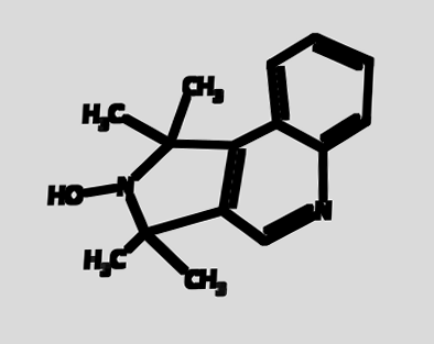 CC1(C)c2cnc3ccccc3c2C(C)(C)N1O